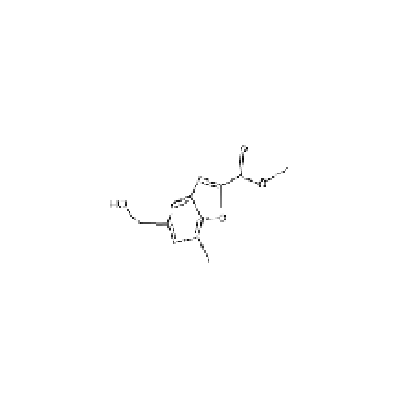 COC(=O)c1cc2cc(CO)cc(C)c2o1